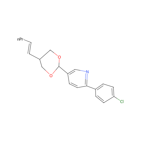 CCCC=CC1COC(c2ccc(-c3ccc(Cl)cc3)nc2)OC1